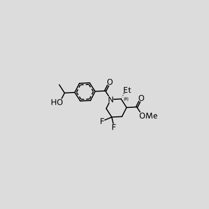 CC[C@@H]1C(C(=O)OC)CC(F)(F)CN1C(=O)c1ccc(C(C)O)cc1